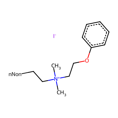 CCCCCCCCCCC[N+](C)(C)CCOc1ccccc1.[I-]